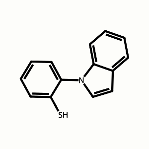 Sc1ccccc1-n1ccc2ccccc21